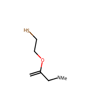 C=C(CNC)OCCS